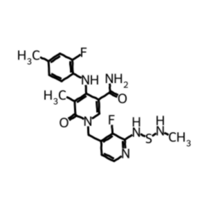 CNSNc1nccc(Cn2cc(C(N)=O)c(Nc3ccc(C)cc3F)c(C)c2=O)c1F